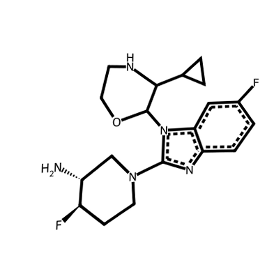 N[C@@H]1CN(c2nc3ccc(F)cc3n2C2OCCNC2C2CC2)CC[C@H]1F